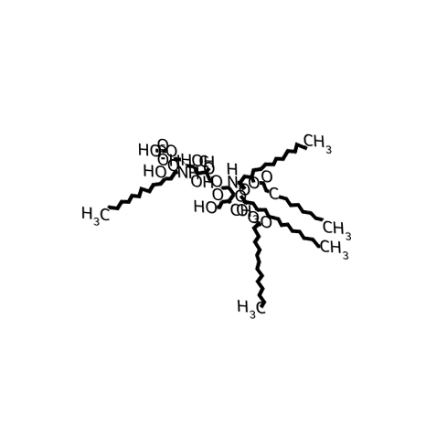 CCCCCCCCCCCCCC(=O)OC(CCCCCCCCCCC)CC(=O)OC1C(C)C(CO)OC(OCC(OC)C(O)C(O)[C@@H](CCOP(=O)(O)O)NC(=O)CC(O)CCCCCCCCCCC)C1NC(=O)CC(CCCCCCCCCCC)OC(=O)CCCCCCCCCCC